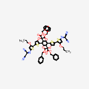 CCCOc1cc(N=C(C#N)C#N)sc1-c1cc2c(s1)-c1cc3c(cc1C(C(=O)OCc1ccccc1)(C(=O)OCc1ccccc1)O2)-c1sc(-c2sc(N=C(C#N)C#N)cc2OCCC)cc1OC3(C(=O)OCc1ccccc1)C(=O)OCc1ccccc1